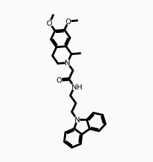 COc1cc2c(cc1OC)C(C)N(CC(=O)NCCCn1c3ccccc3c3ccccc31)CC2